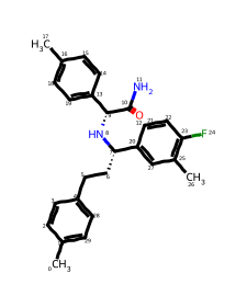 Cc1ccc(CC[C@H](N[C@@H](C(N)=O)c2ccc(C)cc2)c2ccc(F)c(C)c2)cc1